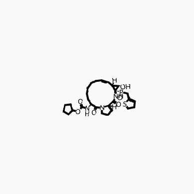 O=C(N[C@H]1CCCCC/C=C\[C@@H]2C[C@@]2(P(=O)(O)CC2=CCCS2)NC(=O)[C@@H]2CCCN2C1=O)OC1CCCC1